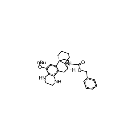 CCCCOc1cc2c(c3c1NCCN3)C[C@H]1[C@H]3CCCC[C@@]23CCN1C(=O)OCc1ccccc1